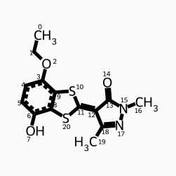 CCOc1ccc(O)c2c1S/C(=C1\C(=O)N(C)N=C1C)S2